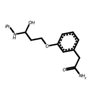 CC(C)NC(O)CCOc1cccc(CC(N)=O)c1